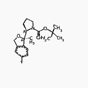 CC(C)(C)OC(=O)N1CCC[C@@H]1[C@]1(C)OCc2cc(F)ccc21